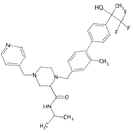 Cc1cc(CN2CCN(Cc3ccncc3)CC2C(=O)NC(C)C)ccc1-c1ccc(C(C)(O)C(F)(F)F)cc1